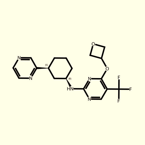 FC(F)(F)c1cnc(N[C@@H]2CCC[C@H](c3cnccn3)C2)nc1OC1COC1